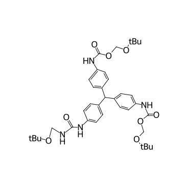 CC(C)(C)OCNC(=O)Nc1ccc(C(c2ccc(NC(=O)OCOC(C)(C)C)cc2)c2ccc(NC(=O)OCOC(C)(C)C)cc2)cc1